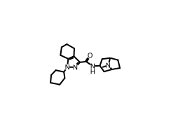 CN1C2CCC1CC(NC(=O)c1nn(C3CCCCC3)c3c1CCCC3)C2